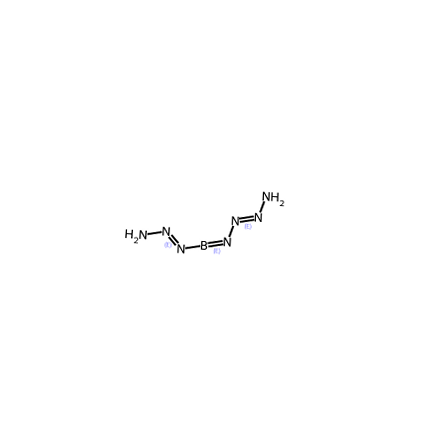 N/N=N/B=N/N=N/N